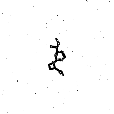 COC(=O)c1ccnc(N2CCC2C#N)n1